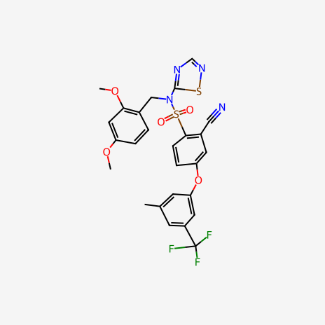 COc1ccc(CN(c2ncns2)S(=O)(=O)c2ccc(Oc3cc(C)cc(C(F)(F)F)c3)cc2C#N)c(OC)c1